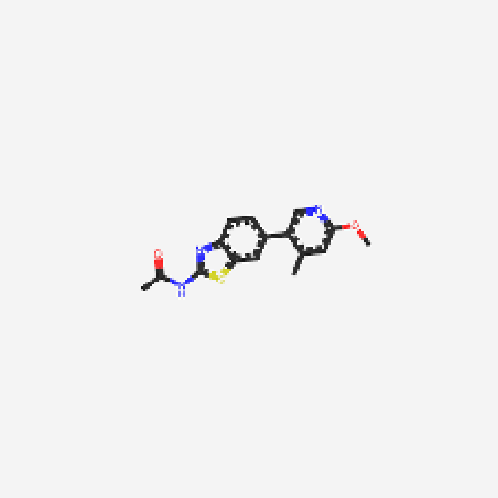 COc1cc(C)c(-c2ccc3nc(NC(C)=O)sc3c2)cn1